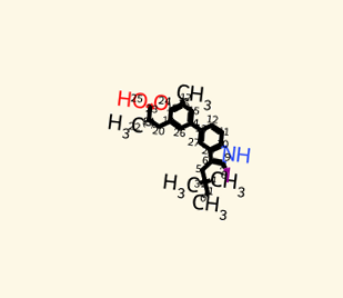 CCC(C)(C)Cc1c(I)[nH]c2ccc(-c3cc(C)cc(C[C@H](C)C(=O)O)c3)cc12